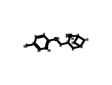 Fc1ccc(OCC2CC3CC(C3)N2)nc1